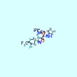 CCN(Cc1c(-c2ccc(C(F)(F)F)c(F)c2)noc1C(=O)NC1CCCC1)C(C)C